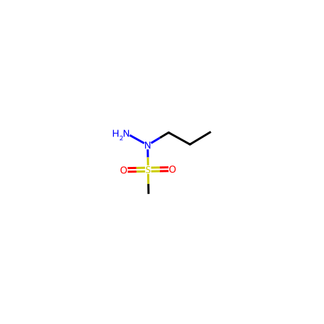 CCCN(N)S(C)(=O)=O